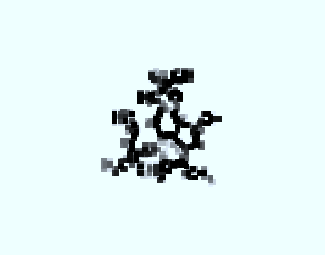 CC(=O)n1cc(O)c2ccccc21.C[N+](C)(C)CCO.O=P([O-])(O)O